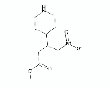 COC(=O)CC(C[N+](=O)[O-])C1CCNCC1